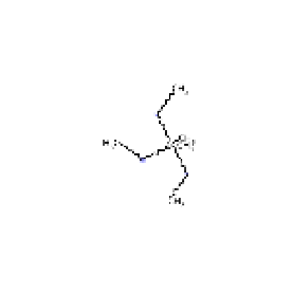 CCCCCCCC/C=C\CCCCCCC[CH2][Zr]([CH2]CCCCCCC/C=C\CCCCCCCC)([CH2]CCCCCCC/C=C\CCCCCCCC)[CH2]C(C)C